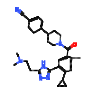 Cc1cc(C2CC2)c(-c2nnc(CCN(C)C)[nH]2)cc1C(=O)N1CCC(C2=CC=C(C#N)CC2)CC1